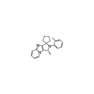 Cc1ccccc1N1[C@@H](C)c2c(nc3ccccn23)C12CCCC2